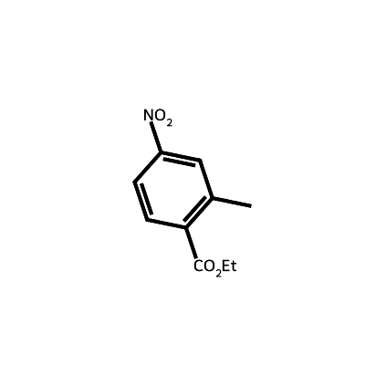 CCOC(=O)c1ccc([N+](=O)[O-])cc1C